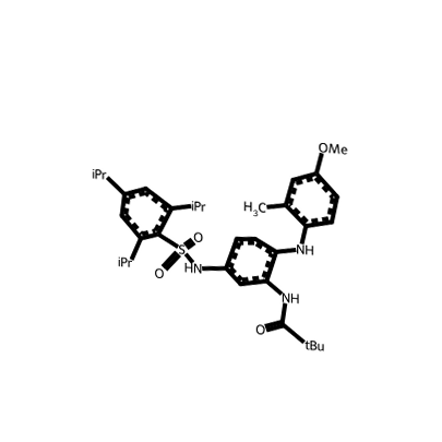 COc1ccc(Nc2ccc(NS(=O)(=O)c3c(C(C)C)cc(C(C)C)cc3C(C)C)cc2NC(=O)C(C)(C)C)c(C)c1